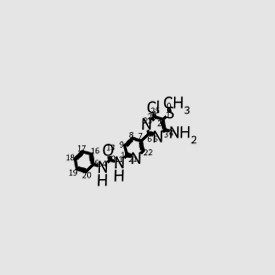 CSc1c(N)nc(-c2ccc(NC(=O)Nc3ccccc3)nc2)nc1Cl